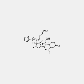 COCCSC(=O)[C@@]1(OC(=O)c2ccco2)[C@H](C)CC2C3C[C@H](F)C4=CC(=O)C=C[C@]4(C)[C@@]3(F)[C@@H](O)C[C@@]21C